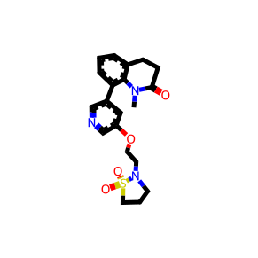 CN1C(=O)CCc2cccc(-c3cncc(OCCN4CCCS4(=O)=O)c3)c21